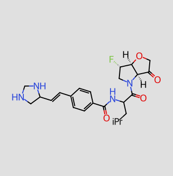 CC(C)CC(NC(=O)c1ccc(/C=C/C2CNCN2)cc1)C(=O)N1C[C@H](F)[C@H]2OCC(=O)[C@H]21